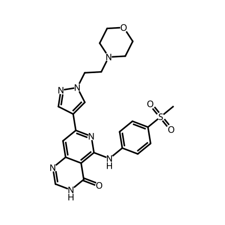 CS(=O)(=O)c1ccc(Nc2nc(-c3cnn(CCN4CCOCC4)c3)cc3nc[nH]c(=O)c23)cc1